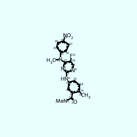 CNC(=O)c1cc(Nc2ncc(F)c(N(C)c3ccc([N+](=O)[O-])cc3)n2)ccc1C